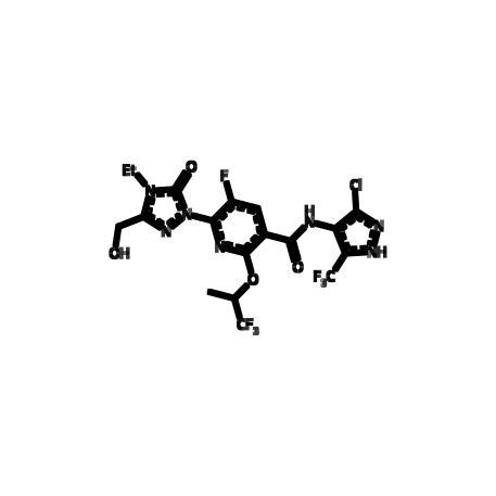 CCn1c(CO)nn(-c2nc(OC(C)C(F)(F)F)c(C(=O)Nc3c(Cl)n[nH]c3C(F)(F)F)cc2F)c1=O